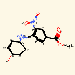 COC(=O)c1ccc(N[C@H]2CC[C@H](O)CC2)c([N+](=O)[O-])c1